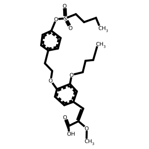 CCCCOc1cc(/C=C(/OC)C(=O)O)ccc1OCCc1ccc(OS(=O)(=O)CCCC)cc1